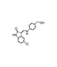 O=C1Nc2ccc(Cl)cc2/C1=C\Nc1ccc(CO)cc1